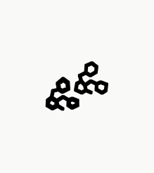 CC1CCCC(CC2CCCCC2)C1CC1CCCCC1.Cc1cccc(Cc2ccccc2)c1Cc1ccccc1